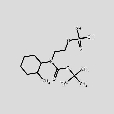 CC1CCCCC1N(CCOP(O)(=S)S)C(=O)OC(C)(C)C